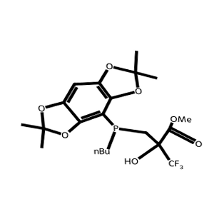 CCCCP(CC(O)(C(=O)OC)C(F)(F)F)c1c2c(cc3c1OC(C)(C)O3)OC(C)(C)O2